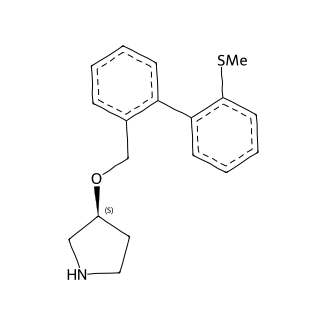 CSc1ccccc1-c1ccccc1CO[C@H]1CCNC1